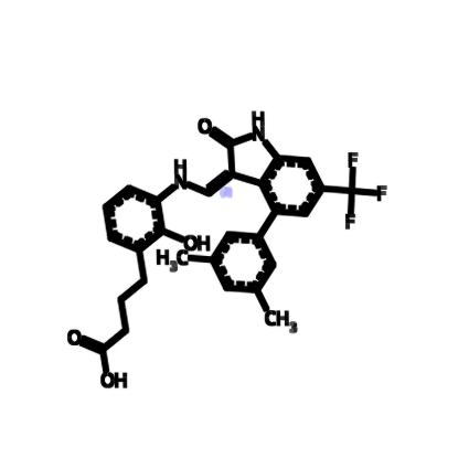 Cc1cc(C)cc(-c2cc(C(F)(F)F)cc3c2/C(=C/Nc2cccc(CCCC(=O)O)c2O)C(=O)N3)c1